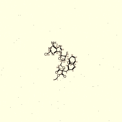 CCOC(=O)C(Cc1ccc2ccccc2c1)(OC[C@H]1O[C@@H](n2cnc3c(N)nc(Cl)nc32)[C@@H](F)[C@@H]1O)C(C)=O